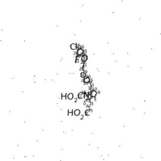 Cc1c(CCCC(=O)O)c2cccc(C=Cc3ccc(OCC=CCOc4ccc(Cl)cc4F)cc3)c2n1CC(=O)O